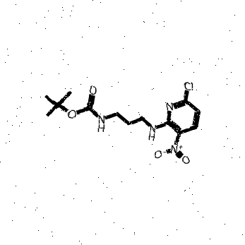 CC(C)(C)OC(=O)NCCCNc1nc(Cl)ccc1[N+](=O)[O-]